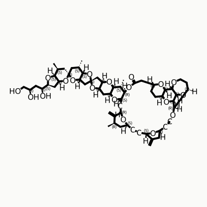 C=C1C[C@@H]2CCO[C@H]3[C@@H]4O[C@H]5CC[C@H](CC(=O)O[C@@H]6[C@@H](C)[C@@H]7O[C@@H]8C[C@]9(C[C@@H]%10O[C@]%11(C[C@H](C)[C@@H]%12O[C@H]([C@@H](O)C[C@@H](O)CO)C[C@@H]%12O%11)C[C@H](C)[C@@H]%10O9)O[C@@H]8C[C@@H]7O[C@H]6C[C@H]6O[C@@H](CC[C@@H]1O2)C[C@@H](C)C6=C)O[C@@H]5[C@@H]1OCC[C@@H]3O[C@@H]14